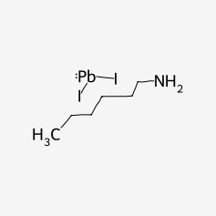 CCCCCCN.[I][Pb][I]